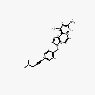 CN(C)CC#Cc1ccc(Cn2ccc3c4c(N)nc(N)nc4ccc32)cc1